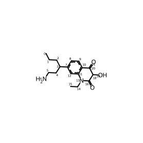 CCCC(CCN)c1ccc2c(c1)N(CC)C(=O)C(O)C2=O